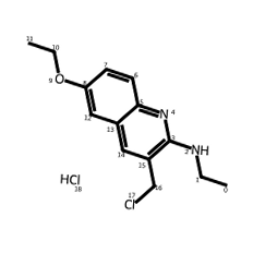 CCNc1nc2ccc(OCC)cc2cc1CCl.Cl